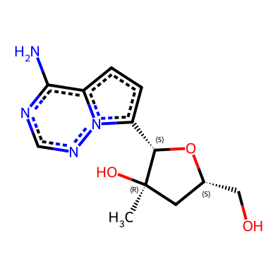 C[C@@]1(O)C[C@@H](CO)O[C@H]1c1ccc2c(N)ncnn12